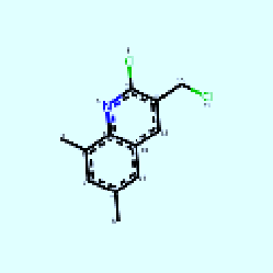 Cc1cc(C)c2nc(Cl)c(CCl)cc2c1